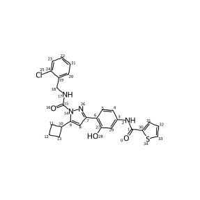 O=C(Nc1ccc(-c2cc(C3CCC3)n(C(=O)NCc3ccccc3Cl)n2)c(O)c1)c1cccs1